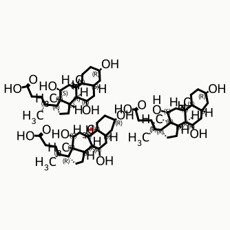 C[C@H](CCC(=O)O)[C@H]1CC[C@H]2[C@@H]3[C@H](O)C[C@@H]4C[C@H](O)CC[C@]4(C)[C@H]3C[C@H](O)[C@]12C.C[C@H](CCC(=O)O)[C@H]1CC[C@H]2[C@@H]3[C@H](O)C[C@@H]4C[C@H](O)CC[C@]4(C)[C@H]3C[C@H](O)[C@]12C.C[C@H](CCC(=O)O)[C@H]1CC[C@H]2[C@@H]3[C@H](O)C[C@@H]4C[C@H](O)CC[C@]4(C)[C@H]3C[C@H](O)[C@]12C